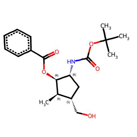 C[C@@H]1[C@@H](CO)C[C@@H](NC(=O)OC(C)(C)C)[C@@H]1OC(=O)c1ccccc1